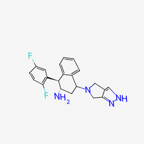 N[C@H]1CC(N2Cc3c[nH]nc3C2)c2ccccc2[C@@H]1c1cc(F)ccc1F